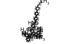 CCCCCC1CCC(c2ccc(-c3ccc(C(=O)Nc4ccc(-c5cc6c7c(c8c(c6cc5OC)OC(c5ccccc5)(c5ccc(OC)cc5)C=C8)C(C)(C)C5=C7CC(C(F)(F)F)C=C5C(F)(F)F)c(C)c4)cc3)cc2)CC1